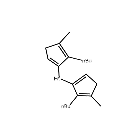 CCCCC1=C(C)CC=[C]1[Hf][C]1=CCC(C)=C1CCCC